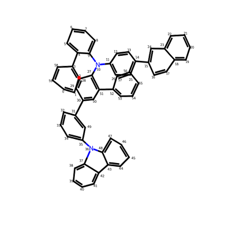 c1ccc(-c2ccccc2N(c2ccc(-c3ccc4ccccc4c3)cc2)c2ccc(-c3cccc(-n4c5ccccc5c5ccccc54)c3)cc2-c2ccccc2)cc1